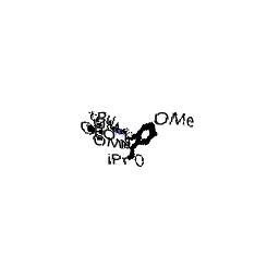 COc1ccc2c(C(=O)C(C)C)nn(/C=C(\OP(=O)(OC)OC)C(C)(C)C)c2c1